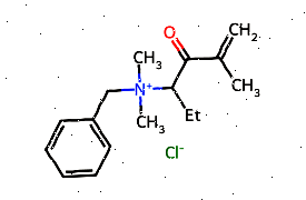 C=C(C)C(=O)C(CC)[N+](C)(C)Cc1ccccc1.[Cl-]